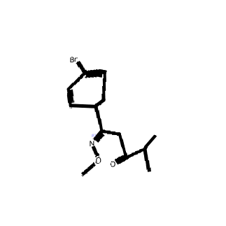 CO/N=C(\CC(=O)C(C)C)C1C=CC(Br)=CC1